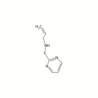 C=CCNSc1ncccn1